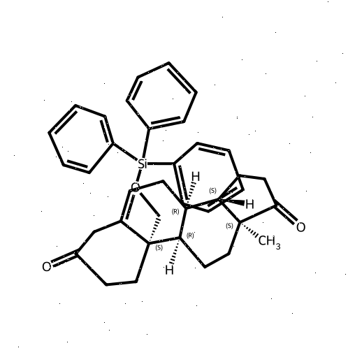 C[C@]12CC[C@@H]3[C@@H](CC=C4CC(=O)CC[C@@]43CO[Si](c3ccccc3)(c3ccccc3)c3ccccc3)[C@@H]1CCC2=O